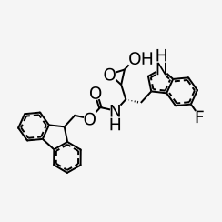 O=C(N[C@@H](Cc1c[nH]c2ccc(F)cc12)C1OC1O)OCC1c2ccccc2-c2ccccc21